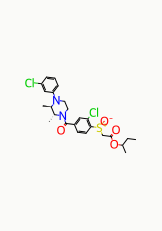 CCC(C)OC(=O)C[S+]([O-])c1ccc(C(=O)N2CCN(c3cccc(Cl)c3)[C@H](C)[C@H]2C)cc1Cl